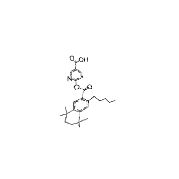 CCCCCc1cc2c(cc1C(=O)Oc1ccc(C(=O)O)cn1)C(C)(C)CCC2(C)C